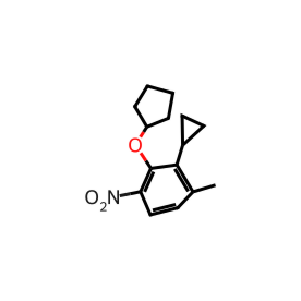 Cc1ccc([N+](=O)[O-])c(OC2CCCC2)c1C1CC1